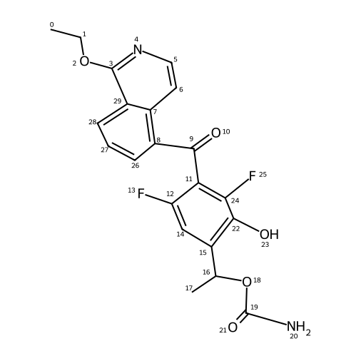 CCOc1nccc2c(C(=O)c3c(F)cc(C(C)OC(N)=O)c(O)c3F)cccc12